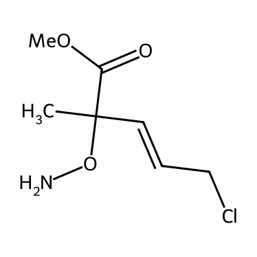 COC(=O)C(C)(C=CCCl)ON